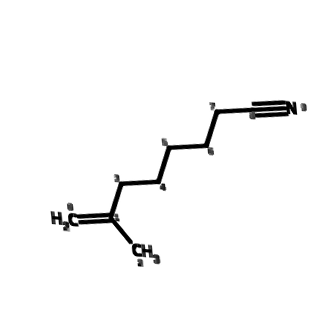 C=C(C)CCCCCC#N